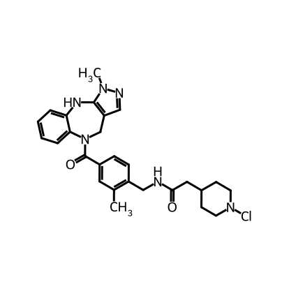 Cc1cc(C(=O)N2Cc3cnn(C)c3Nc3ccccc32)ccc1CNC(=O)CC1CCN(Cl)CC1